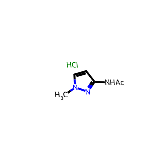 CC(=O)Nc1ccn(C)n1.Cl